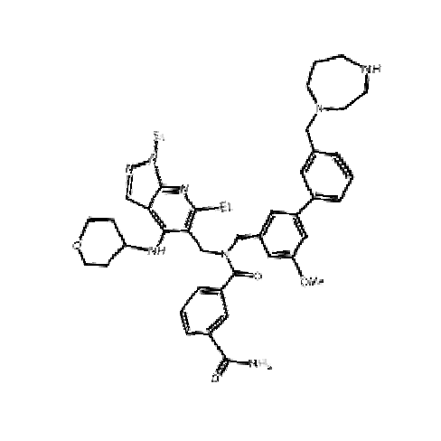 CCc1nc2c(cnn2CC)c(NC2CCOCC2)c1CN(Cc1cc(OC)cc(-c2cccc(CN3CCCNCC3)c2)c1)C(=O)c1cccc(C(N)=O)c1